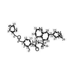 Cc1cc(COCc2cscn2)ccc1C(=O)NC1(c2cc(-c3cnn(C)c3)cc3ncccc23)CC1